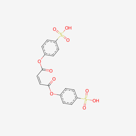 O=C(/C=C\C(=O)Oc1ccc(S(=O)(=O)O)cc1)Oc1ccc(S(=O)(=O)O)cc1